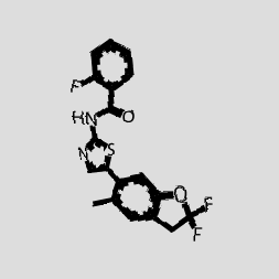 Cc1cc2c(cc1-c1cnc(NC(=O)c3ccccc3F)s1)OC(F)(F)C2